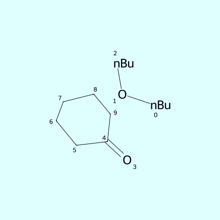 CCCCOCCCC.O=C1CCCCC1